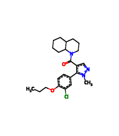 CCCOc1ccc(-c2c(C(=O)N3CCCC4CCCCC43)cnn2C)cc1Cl